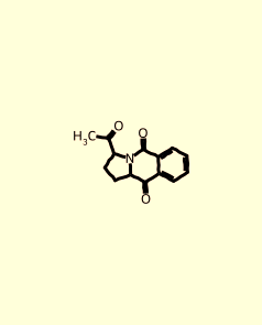 CC(=O)C1CCC2C(=O)c3ccccc3C(=O)N12